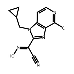 N#C/C(=N\O)c1nc2c(Cl)nccc2n1CC1CC1